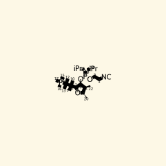 [C-]#[N+]CCOP(O[C@@H]1C(C(C)(C)C(C)(C)P(=C)(C)C)O[C@@H](C)[C@@H]1C)N(C(C)C)C(C)C